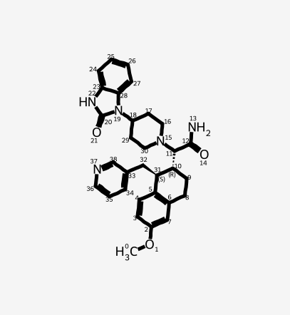 COc1ccc2c(c1)CC[C@@H](C(C(N)=O)N1CCC(n3c(=O)[nH]c4ccccc43)CC1)[C@@H]2Cc1cccnc1